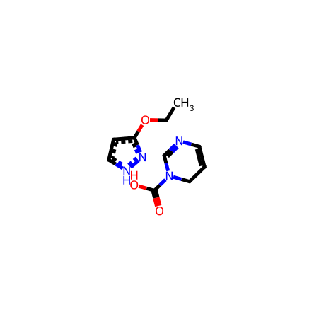 CCOc1cc[nH]n1.O=C(O)N1C=NC=CC1